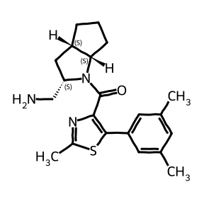 Cc1cc(C)cc(-c2sc(C)nc2C(=O)N2[C@H](CN)C[C@@H]3CCC[C@@H]32)c1